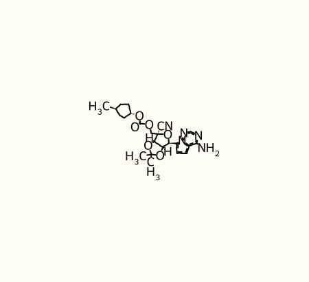 CC1(C)O[C@H]2[C@H](c3ccc4c(N)ncnn34)O[C@](C#N)(COC(=O)O[C@H]3CC[C@H](C)CC3)[C@H]2O1